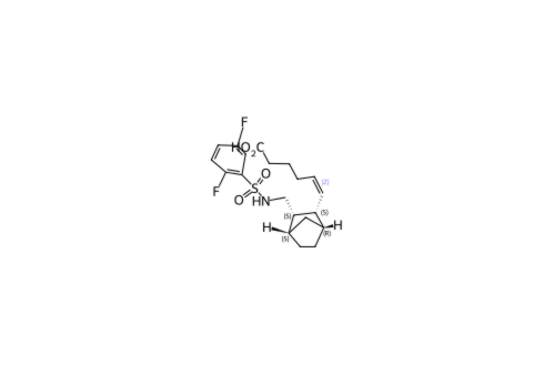 O=C(O)CCC/C=C\[C@@H]1[C@@H]2CC[C@@H](C2)[C@@H]1CNS(=O)(=O)c1cc(F)ccc1F